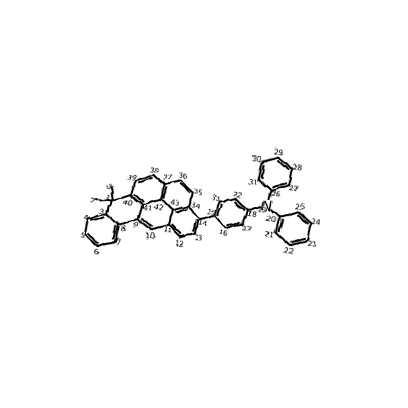 CC1(C)c2ccccc2-c2cc3ccc(-c4ccc(N(c5ccccc5)c5ccccc5)cc4)c4ccc5ccc1c2c5c34